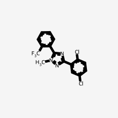 Cn1nc(-c2cc(Cl)ccc2Cl)nc1-c1ccccc1C(F)(F)F